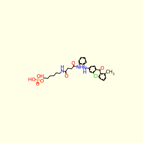 Cc1ccccc1C(=O)c1ccc(Nc2ccccc2NC(=O)CCC(=O)NCCCCCCOP(=O)(O)O)cc1Cl